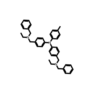 CCN(Cc1ccccc1)Cc1ccc(N(c2ccc(C)cc2)c2ccc(CN(CC)Cc3ccccc3)cc2)cc1